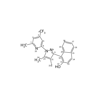 Cc1cc(C(F)(F)F)cc(-n2nc(-c3c(O)ccc4ccccc34)c(I)c2C)n1